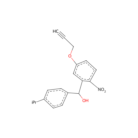 C#CCOc1ccc([N+](=O)[O-])c(C(O)c2ccc(C(C)C)cc2)c1